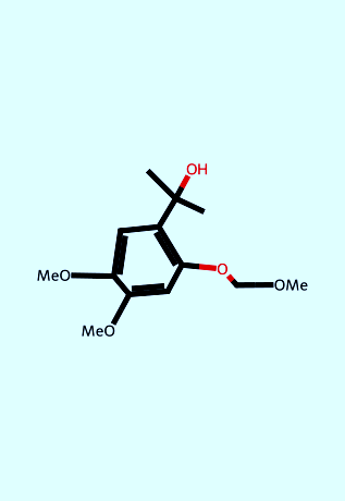 COCOc1cc(OC)c(OC)cc1C(C)(C)O